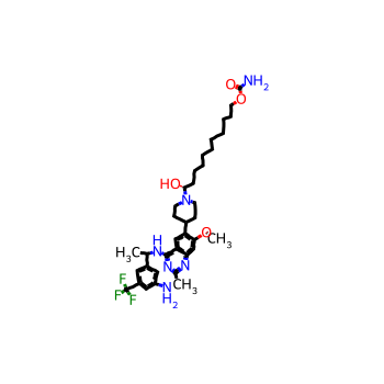 COc1cc2nc(C)nc(NC(C)c3cc(N)cc(C(F)(F)F)c3)c2cc1C1CCN([C@H](O)CCCCCCCCCCOC(N)=O)CC1